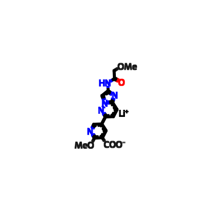 COCC(=O)Nc1cn2nc(-c3cnc(OC)c(C(=O)[O-])c3)ccc2n1.[Li+]